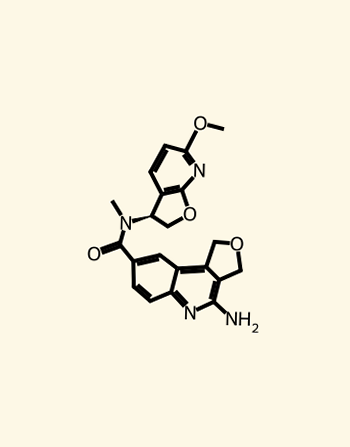 COc1ccc2c(n1)OC[C@H]2N(C)C(=O)c1ccc2nc(N)c3c(c2c1)COC3